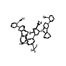 N#Cc1cc(-c2cc(-n3c4ccccc4c4cc(-c5ccccc5C#N)ccc43)c(C#N)cc2-n2c3ccccc3c3cc(-c4ccccc4C#N)ccc32)cc(C(F)(F)F)c1